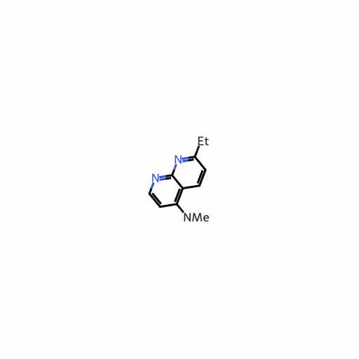 CCc1ccc2c(NC)ccnc2n1